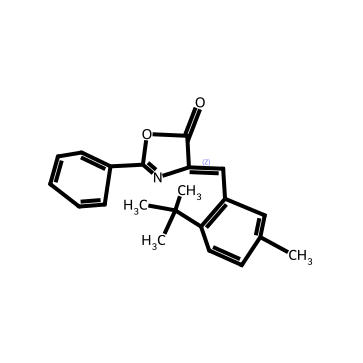 Cc1ccc(C(C)(C)C)c(/C=C2\N=C(c3ccccc3)OC2=O)c1